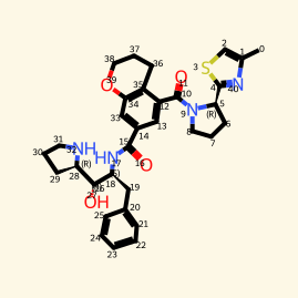 Cc1csc([C@H]2CCCN2C(=O)c2cc(C(=O)N[C@@H](Cc3ccccc3)[C@H](O)[C@H]3CCCN3)cc3c2CCCO3)n1